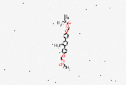 C=CC(=O)O/C=C\Oc1ccc(-c2ccc(-c3ccc(O/C=C\OC(=O)C(=C)C)cc3)cc2C)cc1